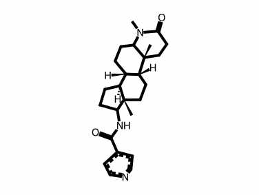 CN1C(=O)CC[C@@]2(C)C1CC[C@@H]1[C@H]2CC[C@]2(C)C(NC(=O)c3ccncc3)CC[C@@H]12